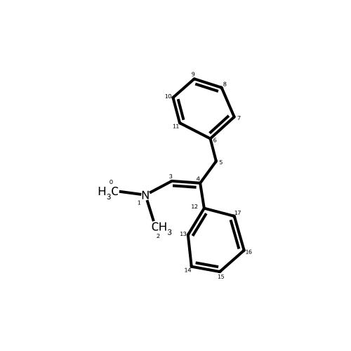 CN(C)C=C(Cc1ccccc1)c1ccccc1